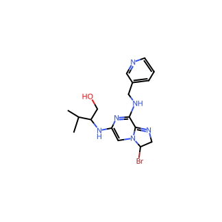 CC(C)C(CO)NC1=CN2C(=NCC2Br)C(NCc2cccnc2)=N1